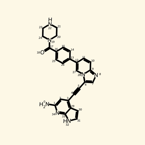 Nc1cc(C#Cc2cnc3ccc(-c4ccc(C(=O)N5CCNCC5)cc4)cn23)c2cc[nH]c2n1